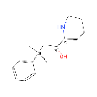 C[Si](C)(C[C@@H](O)[C@@H]1CCCCN1)c1ccccc1